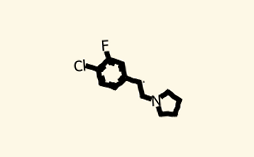 Fc1cc([CH]CN2CCCC2)ccc1Cl